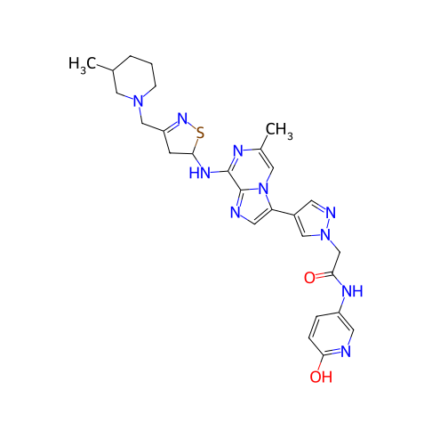 Cc1cn2c(-c3cnn(CC(=O)Nc4ccc(O)nc4)c3)cnc2c(NC2CC(CN3CCCC(C)C3)=NS2)n1